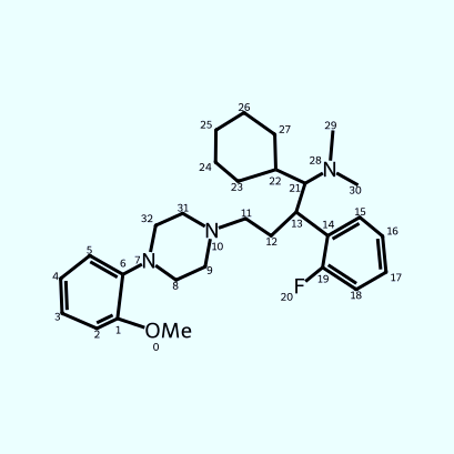 COc1ccccc1N1CCN(CCC(c2ccccc2F)C(C2CCCCC2)N(C)C)CC1